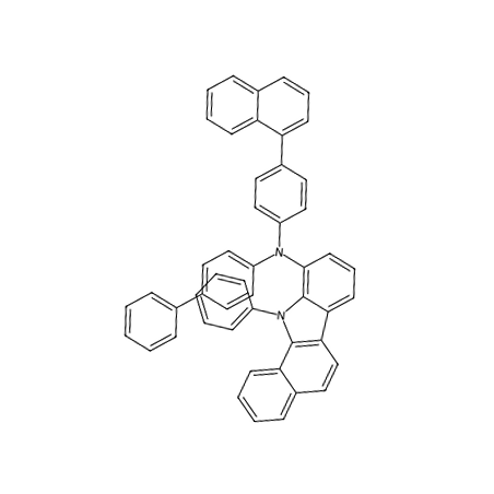 c1ccc(-c2ccc(N(c3ccc(-c4cccc5ccccc45)cc3)c3cccc4c5ccc6ccccc6c5n(-c5ccccc5)c34)cc2)cc1